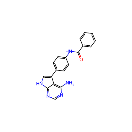 Nc1ncnc2[nH]cc(-c3ccc(NC(=O)c4ccccc4)cc3)c12